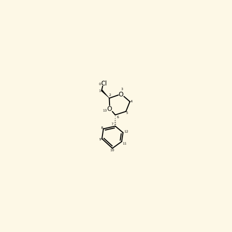 ClC[C@H]1OCC[C@H](c2ccccc2)O1